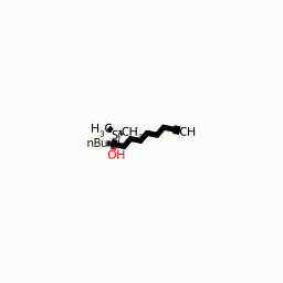 C#CCCCCCCC(O)(CCCC)[SiH](C)C